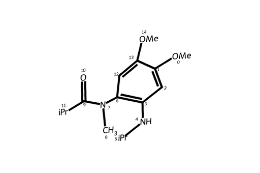 COc1cc(NC(C)C)c(N(C)C(=O)C(C)C)cc1OC